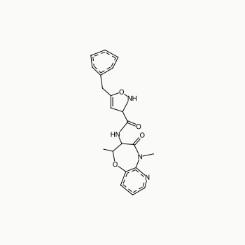 CC1Oc2cccnc2N(C)C(=O)C1NC(=O)C1C=C(Cc2ccccc2)ON1